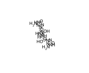 C[C@]1(n2cnc3c(=O)[nH]c(N)nc32)C[C@H](NC(NC[C@H]2O[C@@H](n3cnc4c(=O)[nH]c(N)nc43)C[C@@H]2O)(C(F)(F)F)C(F)(F)F)[C@@H](CO)O1